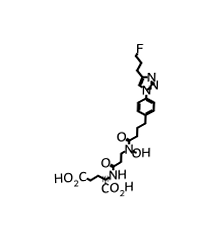 O=C(O)CC[C@H](NC(=O)CCN(O)C(=O)CCCc1ccc(-n2cc(CCCF)nn2)cc1)C(=O)O